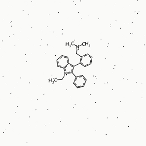 CCn1c(-c2ccccc2)c(-c2ccccc2CN(C)C)c2ccccc21